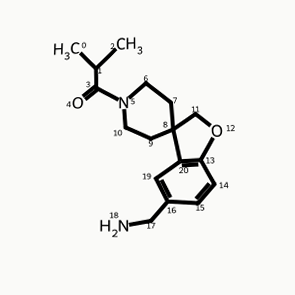 CC(C)C(=O)N1CCC2(CC1)COc1ccc(CN)cc12